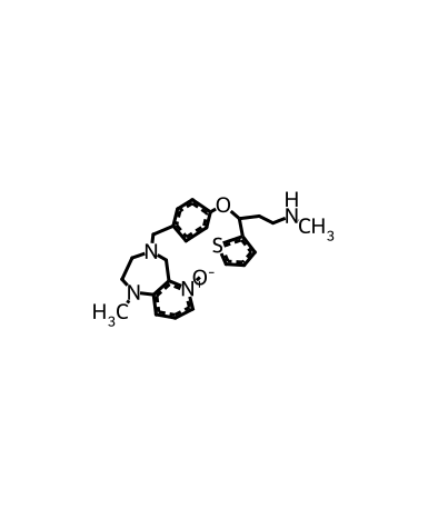 CNCCC(Oc1ccc(CN2CCN(C)c3ccc[n+]([O-])c3C2)cc1)c1cccs1